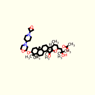 CC(=O)O[C@@H](C1C[C@@H](C)[C@H]2C(O1)C(=O)[C@@]1(C)C3CC[C@H]4C(C)(C)[C@@H](O[C@H]5CN(C6CCN(C7COC7)CC6)CCO5)CCC45C[C@@]35CC[C@]21C)C(C)(C)O